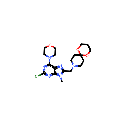 Cn1c(CN2CCC3(CC2)OCCCO3)nc2c(N3CCOCC3)nc(Cl)nc21